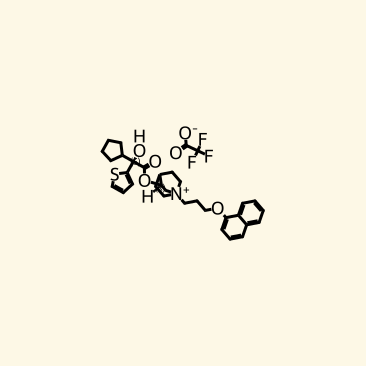 O=C(O[C@H]1C[N+]2(CCCOc3cccc4ccccc34)CCC1CC2)[C@](O)(c1cccs1)C1CCCC1.O=C([O-])C(F)(F)F